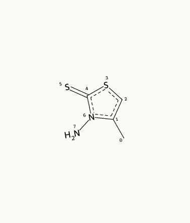 Cc1csc(=S)n1N